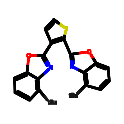 CC(C)(C)c1cccc2oc(-c3ccsc3-c3nc4c(C(C)(C)C)cccc4o3)nc12